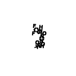 CC(C)(C)NC(=O)C(=O)N1CCN(C(=O)c2cc3c(F)cc(F)cc3[nH]2)CC1